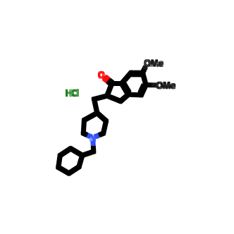 COc1cc2c(cc1OC)C(=O)C(CC1CCN(CC3CCCCC3)CC1)C2.Cl